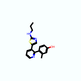 CCCNc1ncc(-c2cccnc2-c2ccc(O)cc2C)s1